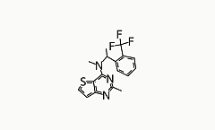 Cc1nc(N(C)C(C)c2ccccc2C(F)(F)F)c2sccc2n1